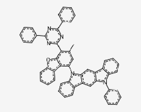 Cc1cc(-n2c3ccccc3c3cc4c(cc32)c2ccccc2n4-c2ccccc2)c2c(oc3ccccc32)c1-c1nc(-c2ccccc2)nc(-c2ccccc2)n1